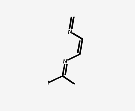 C=N/C=C\N=C(/C)I